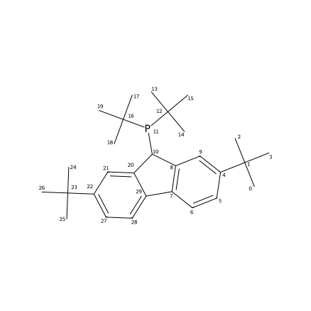 CC(C)(C)c1ccc2c(c1)C(P(C(C)(C)C)C(C)(C)C)c1cc(C(C)(C)C)ccc1-2